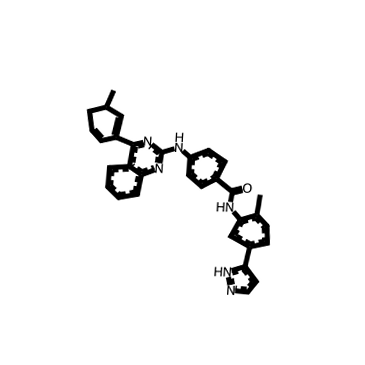 Cc1ccc(-c2ccn[nH]2)cc1NC(=O)c1ccc(Nc2nc(C3=CC(C)CC=C3)c3ccccc3n2)cc1